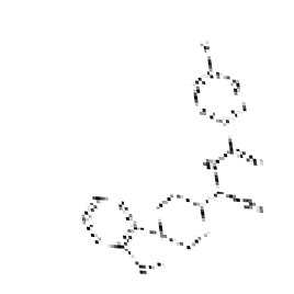 C[C@H](NC(=O)c1ccc(Cl)cc1)C1CCC2(CC1)COc1ccccc12